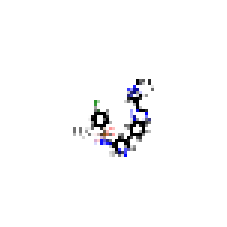 Cc1cc(F)ccc1S(=O)(=O)Nc1cncc(-c2ccc3ncc(-c4cnn(C)c4)nc3c2)c1